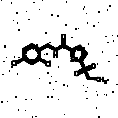 CCS(=O)(=O)c1ccc(C(=O)NCc2ccc(Cl)cc2Cl)s1